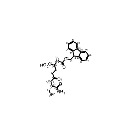 CC(C)C[C@H](NC(=O)CC[C@H](NC(=O)OCC1c2ccccc2-c2ccccc21)C(=O)O)C(N)=O